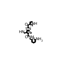 Cn1c(C(=O)NCc2cccc(N)n2)c(C=N)c2sc(C(=O)c3cc[nH]n3)nc21